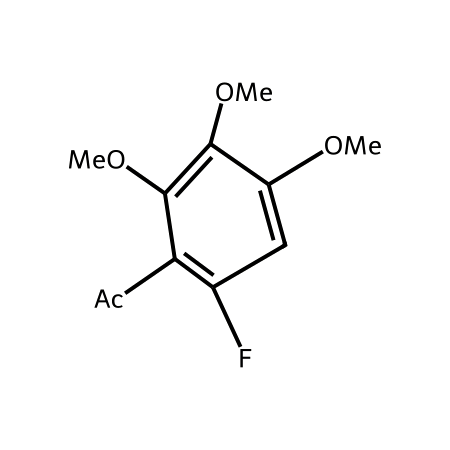 COc1cc(F)c(C(C)=O)c(OC)c1OC